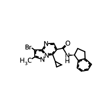 Cc1nn2c(C3CC3)c(C(=O)N[C@H]3CCc4ccccc43)cnc2c1Br